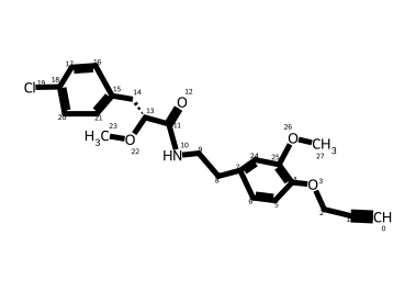 C#CCOc1ccc(CCNC(=O)[C@@H](Cc2ccc(Cl)cc2)OC)cc1OC